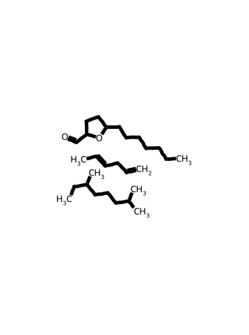 C=CCC=CC.CCC(C)CCCC(C)C.CCCCCCCC1CCC(C=O)O1